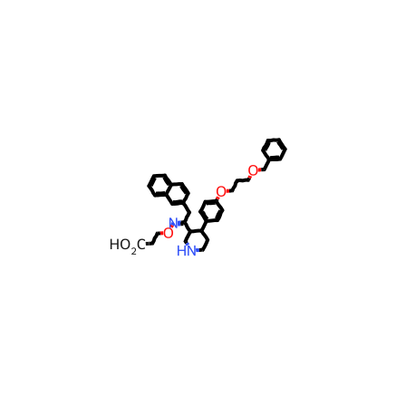 O=C(O)CCON=C(Cc1ccc2ccccc2c1)C1CNCCC1c1ccc(OCCCOCc2ccccc2)cc1